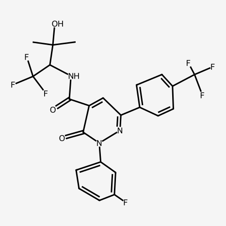 CC(C)(O)C(NC(=O)c1cc(-c2ccc(C(F)(F)F)cc2)nn(-c2cccc(F)c2)c1=O)C(F)(F)F